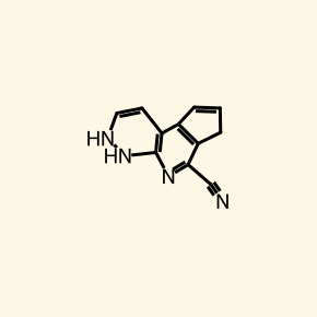 N#Cc1nc2c(c3c1CC=C3)C=CNN2